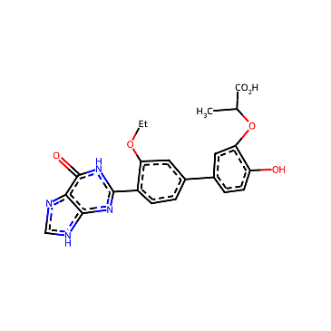 CCOc1cc(-c2ccc(O)c(OC(C)C(=O)O)c2)ccc1-c1nc2[nH]cnc2c(=O)[nH]1